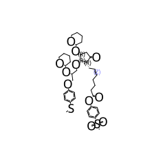 CSc1ccc(OCC(CO[C@H]2[C@H](OC3CCCCO3)CC(=O)[C@@H]2C/C=C\CCCC(=O)Oc2ccc(S(C)(=O)=O)cc2)OC2CCCCO2)cc1